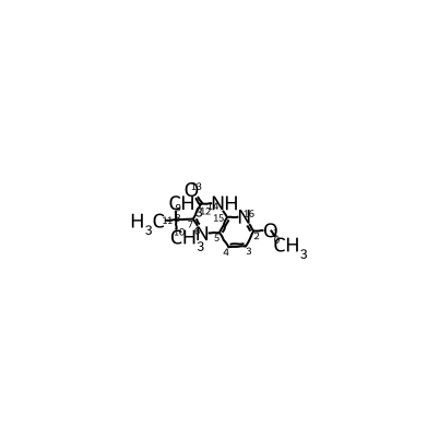 COc1ccc2nc(C(C)(C)C)c(=O)[nH]c2n1